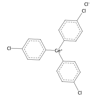 Clc1cc[c]([Ge+]([c]2ccc(Cl)cc2)[c]2ccc(Cl)cc2)cc1.[Cl-]